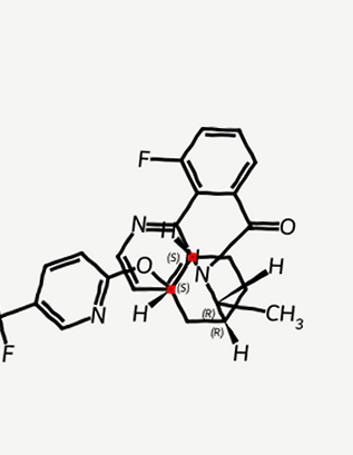 C[C@@H]1[C@@H]2CC[C@@H]([C@@H](Oc3ccc(C(F)(F)F)cn3)C2)N1C(=O)c1cccc(F)c1-c1ncccn1